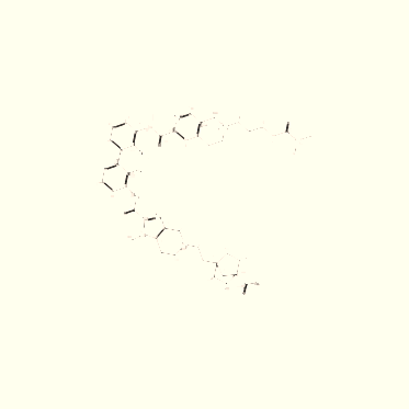 CN(C)C(=O)CCCCN1CCc2cc(C(=O)Nc3cccc(-c4cccc(NC(=O)c5nc6c(n5C)CCN(CCC57CCC(C(=O)O)(CC5)C7)C6)c4Cl)c3Cl)ncc2C1